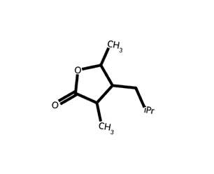 CC(C)CC1C(C)OC(=O)C1C